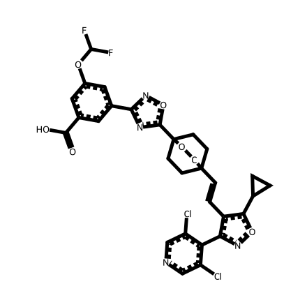 O=C(O)c1cc(OC(F)F)cc(-c2noc(C34CCC(C=Cc5c(-c6c(Cl)cncc6Cl)noc5C5CC5)(CC3)CO4)n2)c1